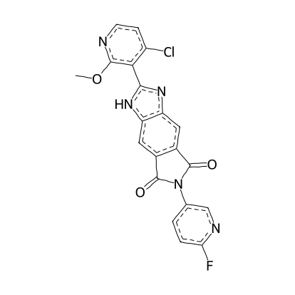 COc1nccc(Cl)c1-c1nc2cc3c(cc2[nH]1)C(=O)N(c1ccc(F)nc1)C3=O